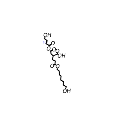 O=C(/C=C/CO)OC(=O)CC(CCC(=O)OCCCCCCCCO)C(=O)O